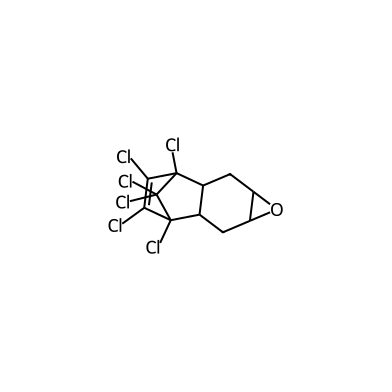 ClC1=C(Cl)C2(Cl)C3CC4OC4CC3C1(Cl)C2(Cl)Cl